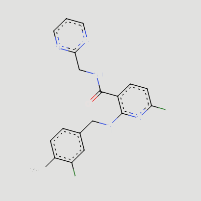 COc1ccc(CNc2nc(Cl)ccc2C(=O)NCc2ncccn2)cc1Cl